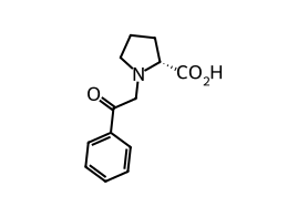 O=C(CN1CCC[C@@H]1C(=O)O)c1ccccc1